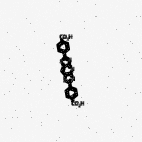 O=C(O)c1ccc(-c2nc3nc4nc(-c5ccc(C(=O)O)cc5)sc4cc3s2)cc1